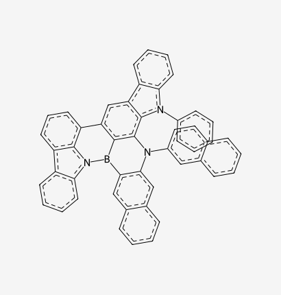 c1ccc(-n2c3ccccc3c3cc4c5c(c32)N(c2ccc3ccccc3c2)c2cc3ccccc3cc2B5n2c3ccccc3c3cccc-4c32)cc1